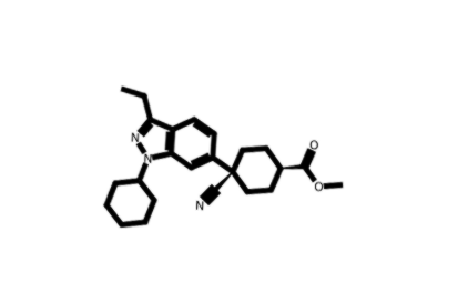 CCc1nn(C2CCCCC2)c2cc([C@]3(C#N)CC[C@@H](C(=O)OC)CC3)ccc12